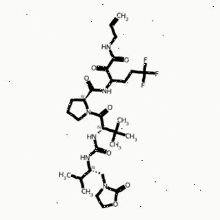 C=CCNC(=O)C(=O)C(CCC(F)(F)F)NC(=O)[C@@H]1CCCN1C(=O)[C@@H](NC(=O)N[C@H](CN1CCOC1=O)C(C)C)C(C)(C)C